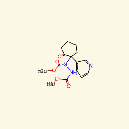 CC(C)(C)OC(=O)NN(C(=O)OC(C)(C)C)C1(c2cccnc2)CCCCC1=O